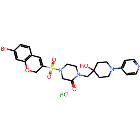 Cl.O=C1CN(S(=O)(=O)C2=Cc3ccc(Br)cc3OC2)CCN1CC1(O)CCN(c2ccncc2)CC1